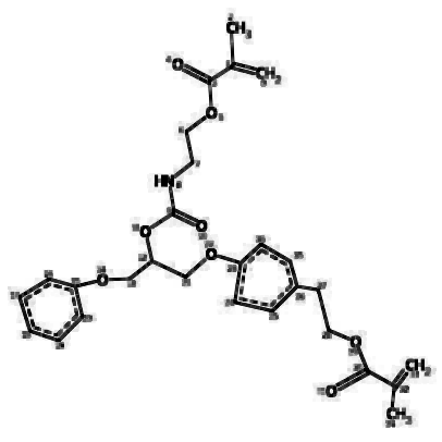 C=C(C)C(=O)OCCNC(=O)OC(COc1ccccc1)COc1ccc(CCOC(=O)C(=C)C)cc1